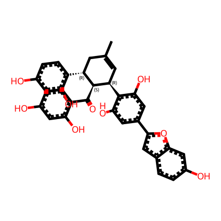 CC1=C[C@@H](c2c(O)cc(-c3cc4ccc(O)cc4o3)cc2O)[C@@H](C(=O)c2ccc(O)cc2O)[C@H](c2ccc(O)cc2O)C1